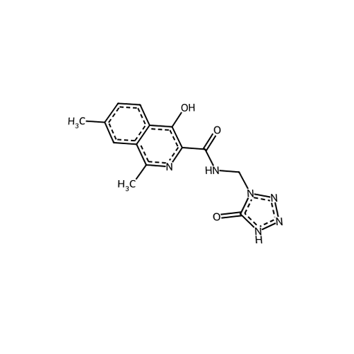 Cc1ccc2c(O)c(C(=O)NCn3nn[nH]c3=O)nc(C)c2c1